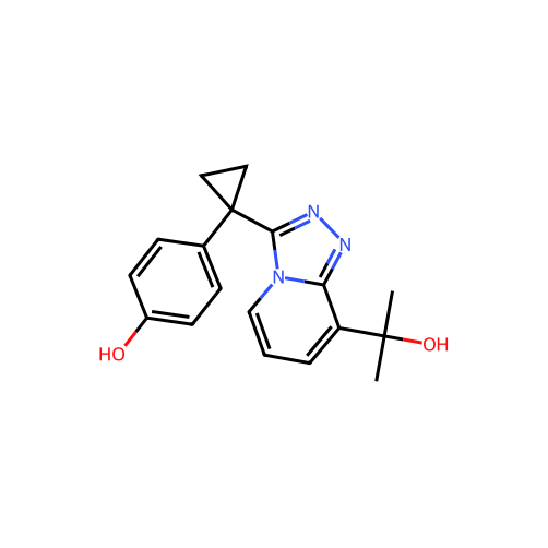 CC(C)(O)c1cccn2c(C3(c4ccc(O)cc4)CC3)nnc12